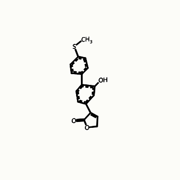 CSc1ccc(-c2ccc(C3=CCOC3=O)cc2O)cc1